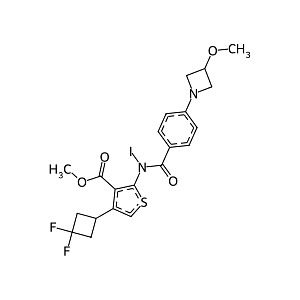 COC(=O)c1c(C2CC(F)(F)C2)csc1N(I)C(=O)c1ccc(N2CC(OC)C2)cc1